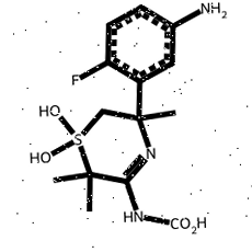 CC1(c2cc(N)ccc2F)CS(O)(O)C(C)(C)C(NC(=O)O)=N1